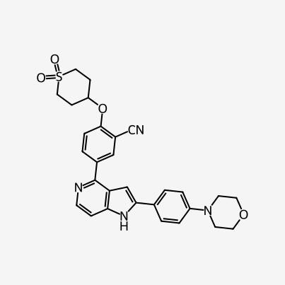 N#Cc1cc(-c2nccc3[nH]c(-c4ccc(N5CCOCC5)cc4)cc23)ccc1OC1CCS(=O)(=O)CC1